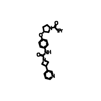 CC(C)C(=O)N1CC[C@H](Oc2ccc(NC(=O)N3CC(c4cccnc4)C3)cc2)C1